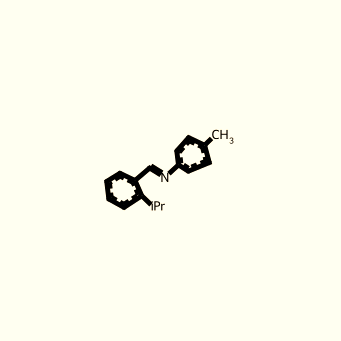 Cc1ccc(/N=C/c2ccccc2C(C)C)cc1